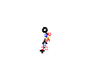 CC(C)(C)OC(=O)N1CC(CS(C)(=O)=NC(=O)c2ccccc2)C1